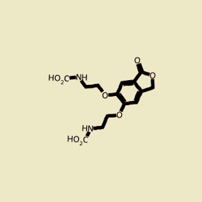 O=C(O)NCCOc1cc2c(cc1OCCNC(=O)O)C(=O)OC2